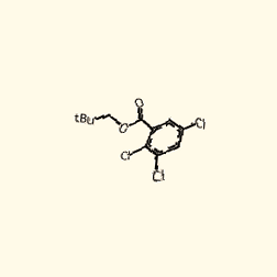 CC(C)(C)COC(=O)c1[c]c(Cl)cc(Cl)c1Cl